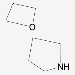 C1CCNC1.C1COC1